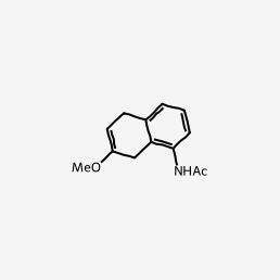 COC1=CCc2cccc(NC(C)=O)c2C1